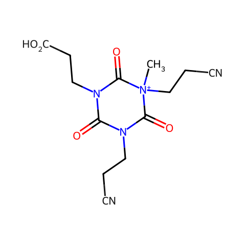 C[N+]1(CCC#N)C(=O)N(CCC#N)C(=O)N(CCC(=O)O)C1=O